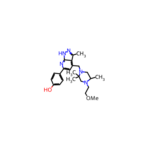 COCCN1CC(C)(C)N(Cc2cc(-c3ccc(O)cc3)nc3[nH]nc(C)c23)CC1C